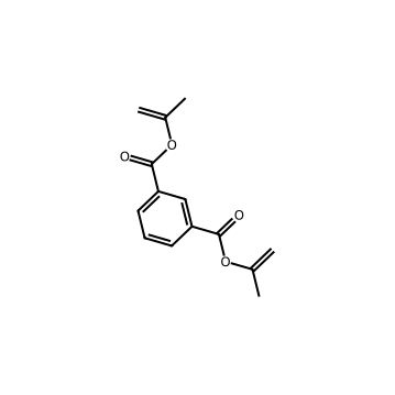 C=C(C)OC(=O)c1cccc(C(=O)OC(=C)C)c1